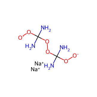 NC(N)(O[O-])OOC(N)(N)O[O-].[Na+].[Na+]